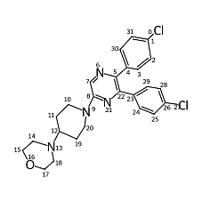 Clc1ccc(-c2ncc(N3CCC(N4CCOCC4)CC3)nc2-c2ccc(Cl)cc2)cc1